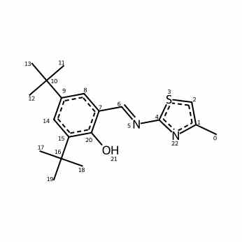 Cc1csc(/N=C/c2cc(C(C)(C)C)cc(C(C)(C)C)c2O)n1